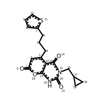 O=c1cc(CCCc2cccs2)c2c(=O)n(CC3CC3)c(=O)[nH]c2o1